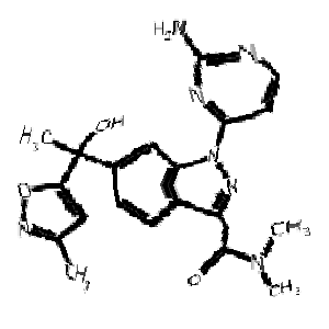 Cc1cc(C(C)(O)c2ccc3c(C(=O)N(C)C)nn(-c4ccnc(N)n4)c3c2)on1